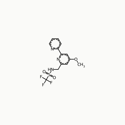 COc1cc(CNS(=O)(=O)C(F)(F)F)nc(-c2ccccn2)c1